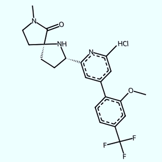 COc1cc(C(F)(F)F)ccc1-c1cc(C)nc([C@@H]2CC[C@@]3(CCN(C)C3=O)N2)c1.Cl